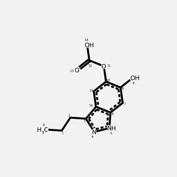 CCCc1n[nH]c2cc(O)c(OC(=O)O)cc12